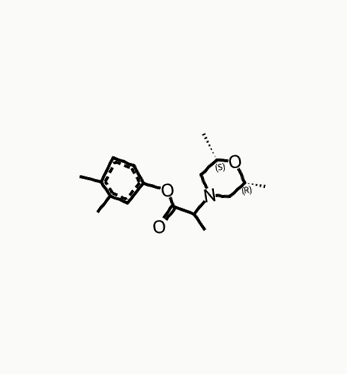 Cc1ccc(OC(=O)C(C)N2C[C@@H](C)O[C@@H](C)C2)cc1C